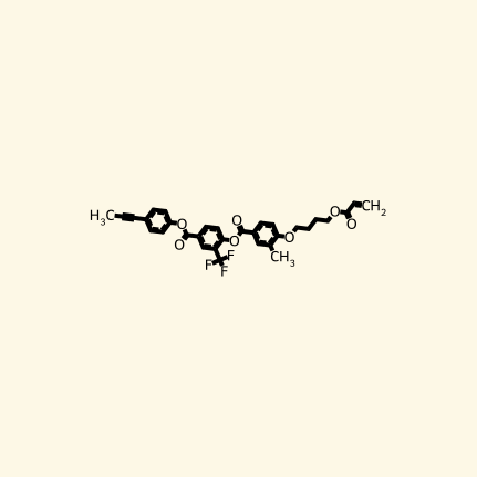 C=CC(=O)OCCCCOc1ccc(C(=O)Oc2ccc(C(=O)Oc3ccc(C#CC)cc3)cc2C(F)(F)F)cc1C